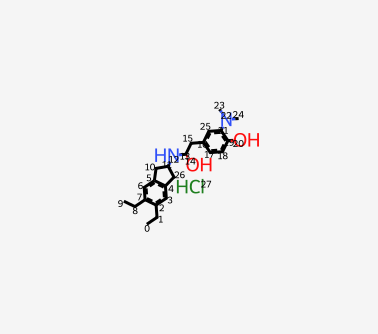 CCc1cc2c(cc1CC)CC(N[C@H](O)Cc1ccc(O)c(N(C)C)c1)C2.Cl